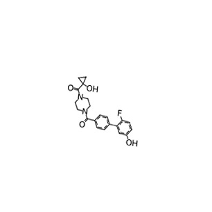 O=C(c1ccc(-c2cc(O)ccc2F)cc1)N1CCN(C(=O)C2(O)CC2)CC1